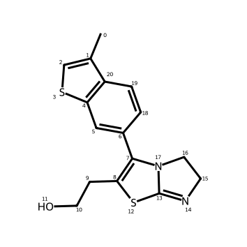 Cc1csc2cc(C3=C(CCO)SC4=NCCN43)ccc12